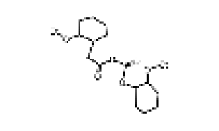 CCOC1CCCCC1CC(=O)OC(=O)OC1CCCCC1OCC